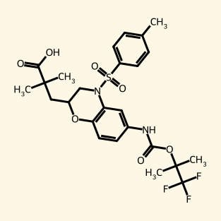 Cc1ccc(S(=O)(=O)N2CC(CC(C)(C)C(=O)O)Oc3ccc(NC(=O)OC(C)(C)C(F)(F)F)cc32)cc1